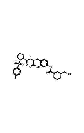 Cc1ccc(S(=O)(=O)N2CCC[C@H]2C(=O)N[C@@H](Cc2ccc(OC(=O)N3CCCC(CO)C3)cc2)C(=O)O)cc1